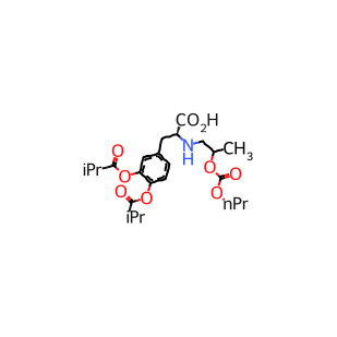 CCCOC(=O)OC(C)CN[C@@H](Cc1ccc(OC(=O)C(C)C)c(OC(=O)C(C)C)c1)C(=O)O